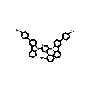 N#Cc1ccc(-c2ccc3c(c2)c2ccccc2n3-c2cc(-c3ccccc3C#N)c(-n3c4ccccc4c4cc(-c5ccc(C#N)cc5)ccc43)cn2)cc1